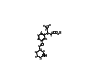 O=C(O)CC(c1cccc(OCC2CCCNC2)c1)C1CC1